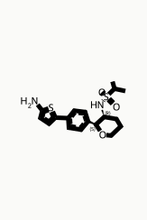 CC(C)S(=O)(=O)N[C@@H]1CCCO[C@H]1c1ccc(-c2ccc(N)s2)cc1